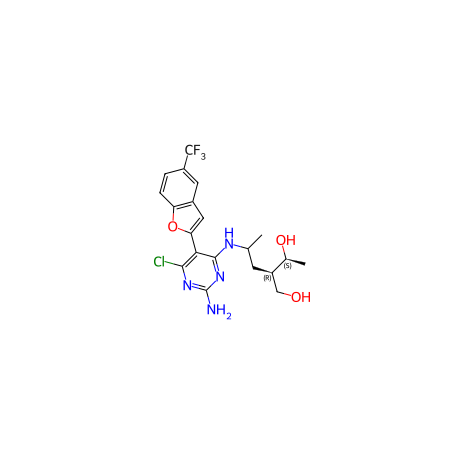 CC(C[C@H](CO)[C@H](C)O)Nc1nc(N)nc(Cl)c1-c1cc2cc(C(F)(F)F)ccc2o1